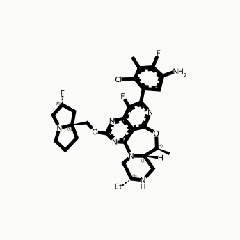 CC[C@@H]1CN2c3nc(OC[C@@]45CCCN4C[C@H](F)C5)nc4c(F)c(-c5cc(N)c(F)c(C)c5Cl)nc(c34)O[C@@H](C)[C@@H]2CN1